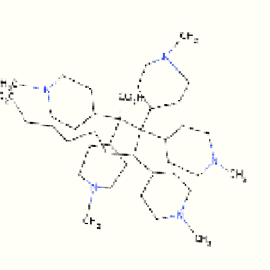 CN1CCC(C(CCCCCC(=O)O)C(C2CCN(C)CC2)(C2CCN(C)CC2)C(C(=O)O)(C2CCN(C)CC2)C2CCN(C)CC2)CC1